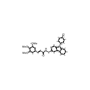 COc1cc(/C=C/C(=O)NCc2cc3c4ccccc4n(-c4ccc(Cl)cc4)c3cn2)cc(OC)c1OC